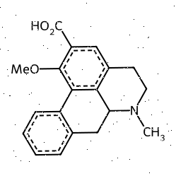 COc1c(C(=O)O)cc2c3c1-c1ccccc1CC3N(C)CC2